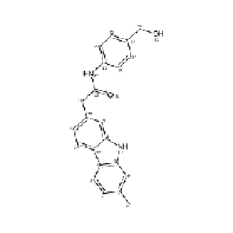 Cc1ccc2c(c1)[nH]c1cc(CC(=O)Nc3ccc(CO)cc3)ccc12